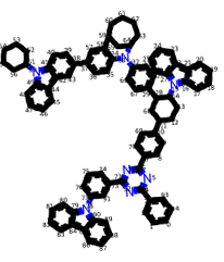 c1ccc(-c2nc(-c3ccc(C4CCC(n5c6ccccc6c6ccccc65)C(c5ccc(N6c7ccc(-c8ccc9c(c8)c8ccccc8n9C8CCCCC8)cc7C7CCCCC6C7)cc5)C4)cc3)nc(-c3cccc(-n4c5ccccc5c5ccccc54)c3)n2)cc1